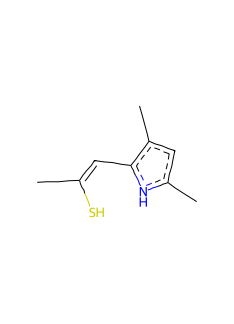 C/C(S)=C/c1[nH]c(C)cc1C